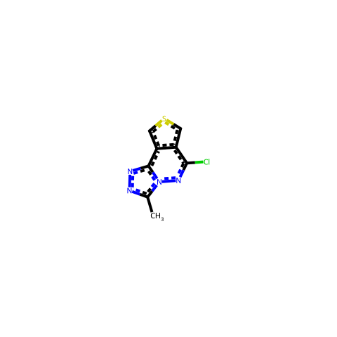 Cc1nnc2c3cscc3c(Cl)nn12